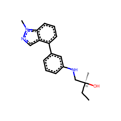 CC[C@](C)(O)CNc1cccc(-c2cccc3c2cnn3C)c1